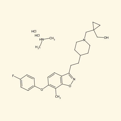 CNC.Cc1c(Oc2ccc(F)cc2)ccc2c(CCC3CCN(CC4(CO)CC4)CC3)noc12.Cl.Cl